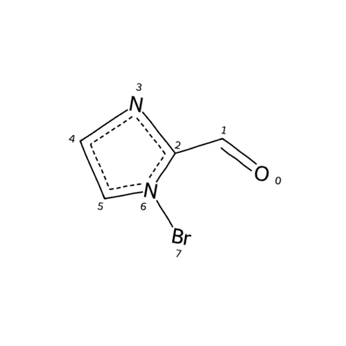 O=Cc1nccn1Br